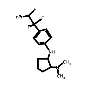 CCCC(F)C(F)(F)c1ccc(NC2CCCC2N(C)C)cc1